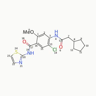 COc1cc(NC(=O)CC2CCCC2)c(Cl)cc1C(=O)Nc1nccs1